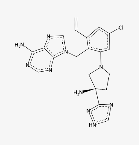 C=Cc1cc(Cl)cc(N2CC[C@](N)(c3nc[nH]n3)C2)c1Cn1cnc2c(N)ncnc21